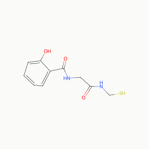 O=C(CNC(=O)c1ccccc1O)NCS